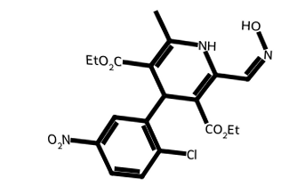 CCOC(=O)C1=C(C)NC(/C=N\O)=C(C(=O)OCC)C1c1cc([N+](=O)[O-])ccc1Cl